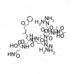 CNC(=O)CC[C@@H](NC(=O)[C@@H](C)[C@H](/C=C/C(C)=C/[C@H](C)[C@H](Cc1ccccc1)OC)NC(=O)[C@H](CCCN=C(N)N)NC(=O)C[C@@H](NC(=O)[C@H](CCCN=C(N)N)NC(=O)[C@@H](C)NC(=O)C(C)=O)C(=O)O)C(=O)O